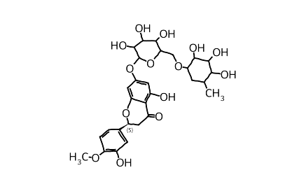 COc1ccc([C@@H]2CC(=O)c3c(O)cc(OC4OC(COC5CC(C)C(O)C(O)C5O)C(O)C(O)C4O)cc3O2)cc1O